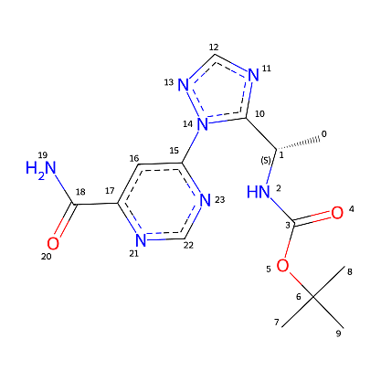 C[C@H](NC(=O)OC(C)(C)C)c1ncnn1-c1cc(C(N)=O)ncn1